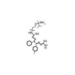 CN/C(S)=N/N=C(/C(=N/N=C(\S)NC(C)(C)CCOC(C)(N)C(C)C)c1ccccc1)c1ccc(C)cc1